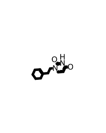 O=c1ccn(CCC2=CCCCC2)c(=O)[nH]1